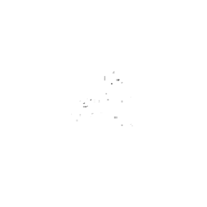 C=Cc1nc(-c2cccc(-c3cc(-c4ccccc4)cc(-c4cccc(-c5nc6ccccn6c5-c5ccccc5)c4)n3)c2)c(-c2ccccc2)n1C=C